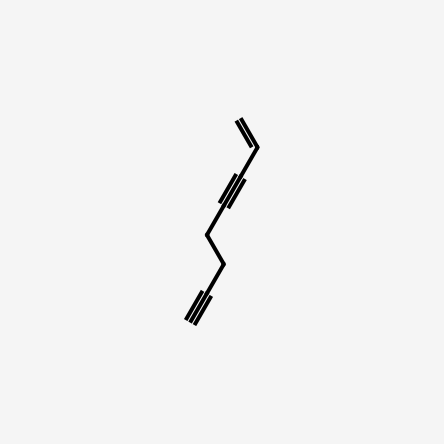 C#CCCC#CC=C